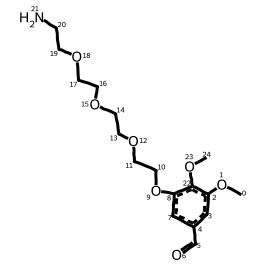 COc1cc(C=O)cc(OCCOCCOCCOCCN)c1OC